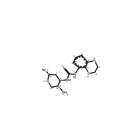 N#C[C@H]1C[C@@H](NC(=S)Nc2cccc3c2OCCO3)[C@@H](N)CO1